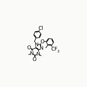 Cc1c(Oc2nc3c(c(=O)n(C)c(=O)n3C)n2Cc2ccc(Cl)cc2)cccc1C(F)(F)F